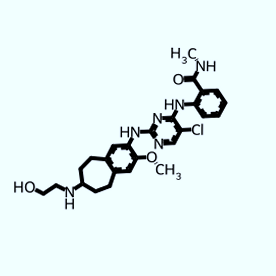 CNC(=O)c1ccccc1Nc1nc(Nc2cc3c(cc2OC)CCC(NCCO)CC3)ncc1Cl